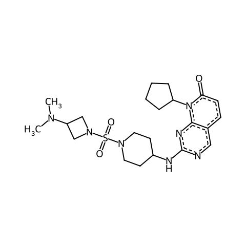 CN(C)C1CN(S(=O)(=O)N2CCC(Nc3ncc4ccc(=O)n(C5CCCC5)c4n3)CC2)C1